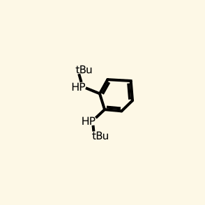 CC(C)(C)Pc1ccccc1PC(C)(C)C